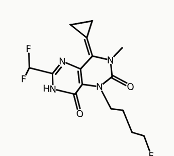 CN1C(=O)N(CCCCF)c2c(nc(C(F)F)[nH]c2=O)C1=C1CC1